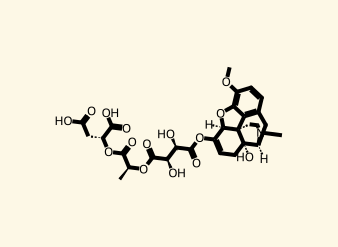 COc1ccc2c3c1O[C@@H]1C(OC(=O)[C@H](O)[C@@H](O)C(=O)O[C@@H](C)C(=O)O[C@H](CC(=O)O)C(=O)O)=CC[C@]4(O)[C@H](C2)N(C)CC[C@@]314